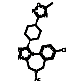 CC(=O)N1Cc2cc(Cl)ccc2-n2c(nnc2[C@H]2CC[C@H](c3noc(C)n3)CC2)C1